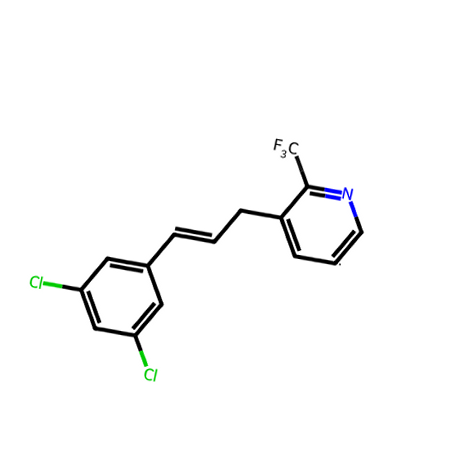 FC(F)(F)c1nc[c]cc1CC=Cc1cc(Cl)cc(Cl)c1